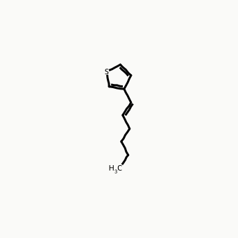 CCCCC=Cc1ccsc1